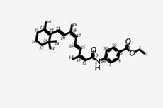 CCOC(=O)c1ccc(NC(=O)C=C(C)C=CC=C(C)C=CC2=C(C)CCCC2(C)C)cc1